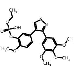 CCOP(=O)(O)Oc1cc(-c2csnc2-c2cc(OC)c(OC)c(OC)c2)ccc1OC